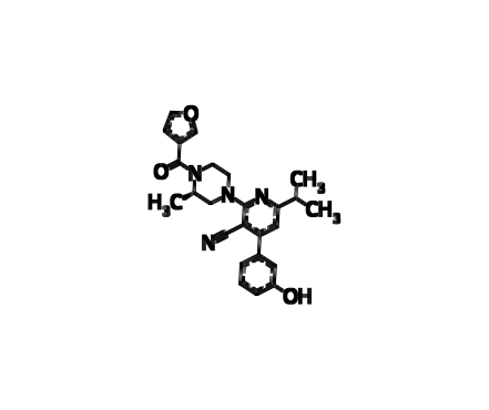 CC(C)c1cc(-c2cccc(O)c2)c(C#N)c(N2CCN(C(=O)c3ccoc3)[C@H](C)C2)n1